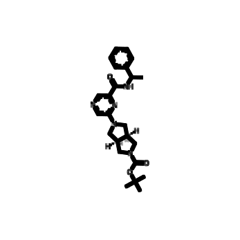 CC(NC(=O)c1cncc(N2C[C@H]3CN(C(=O)OC(C)(C)C)C[C@H]3C2)n1)c1ccccc1